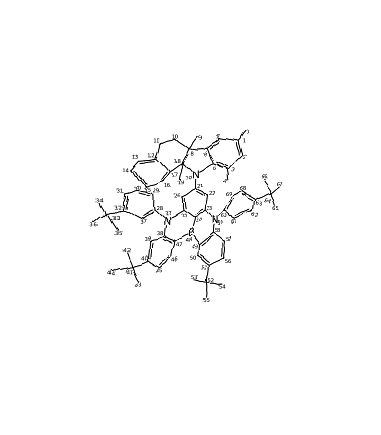 Cc1cc(C)c2c(c1)C1(C)CCc3ccccc3C1(C)N2c1cc2c3c(c1)N(c1cccc(C(C)(C)C)c1)c1cc(C(C)(C)C)ccc1B3c1cc(C(C)(C)C)ccc1N2c1ccc(C(C)(C)C)cc1